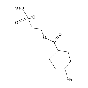 COS(=O)(=O)CCOC(=O)C1CCC(C(C)(C)C)CC1